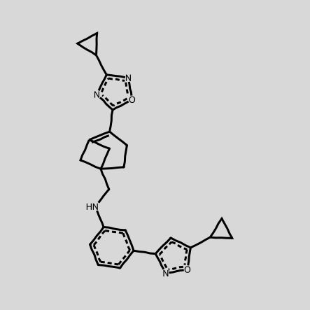 c1cc(NCC23CCC(c4nc(C5CC5)no4)=C(C2)C3)cc(-c2cc(C3CC3)on2)c1